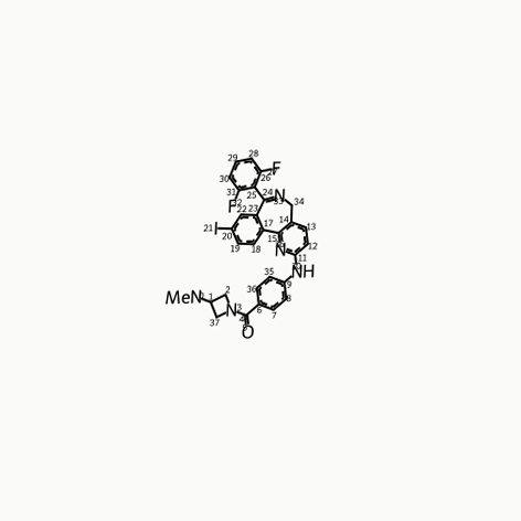 CNC1CN(C(=O)c2ccc(Nc3ccc4c(n3)-c3ccc(I)cc3C(c3c(F)cccc3F)=NC4)cc2)C1